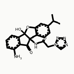 CC(C)c1ccc2c(c1)OC1(O)c3cccc(N)c3C(=O)C21NC(=O)Cn1cnnn1